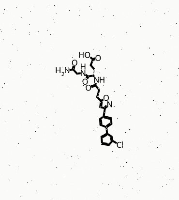 NC(=O)CNC(=O)[C@H](CCC(=O)O)NC(=O)CCc1cc(-c2ccc(-c3cccc(Cl)c3)cc2)no1